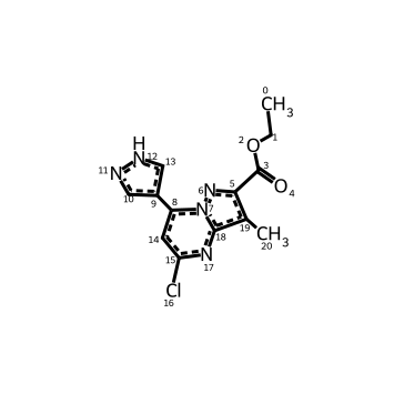 CCOC(=O)c1nn2c(-c3cn[nH]c3)cc(Cl)nc2c1C